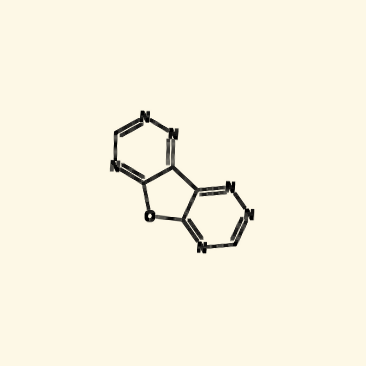 c1nnc2c(n1)oc1ncnnc12